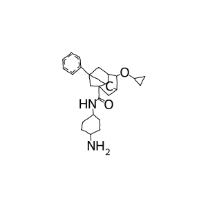 NC1CCC(NC(=O)C23CC4CC(c5ccccc5)(CC(C2)C4OC2CC2)C3)CC1